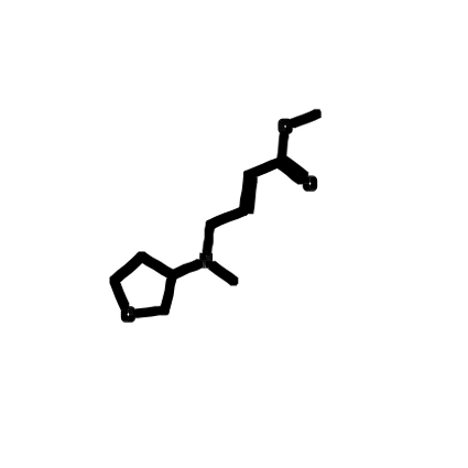 COC(=O)C=CCN(C)C1CCOC1